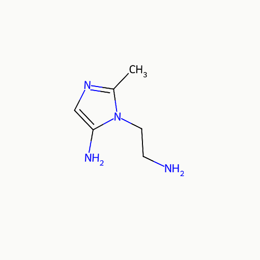 Cc1ncc(N)n1CCN